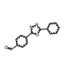 O=Pc1ccc(-c2nnc(-c3ccccc3)o2)cc1